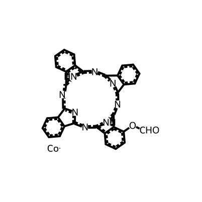 O=COc1cccc2c3nc4nc(nc5[nH]c(nc6nc(nc([nH]3)c12)-c1ccccc1-6)c1ccccc51)-c1ccccc1-4.[Co]